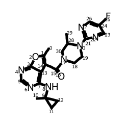 Cc1oc2ncnc(NC3(C)CC3)c2c1C(=O)N1CCN(c2ncc(F)cn2)C(C)C1